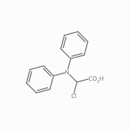 O=C(O)C(Cl)N(c1ccccc1)c1ccccc1